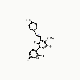 COc1c(Br)cc(-n2ccc(=O)[nH]c2=O)c(F)c1/C=C/c1ccc([N+](=O)[O-])cc1